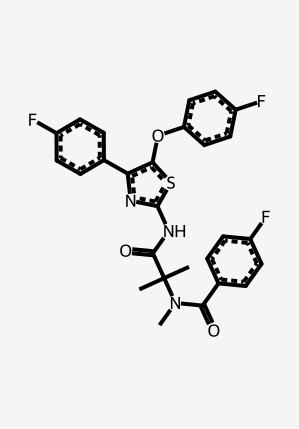 CN(C(=O)c1ccc(F)cc1)C(C)(C)C(=O)Nc1nc(-c2ccc(F)cc2)c(Oc2ccc(F)cc2)s1